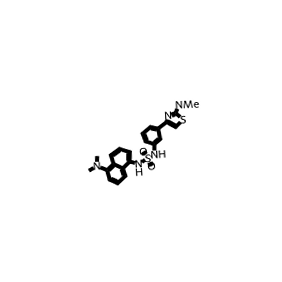 CNc1nc(-c2cccc(NS(=O)(=O)Nc3cccc4c(N(C)C)cccc34)c2)cs1